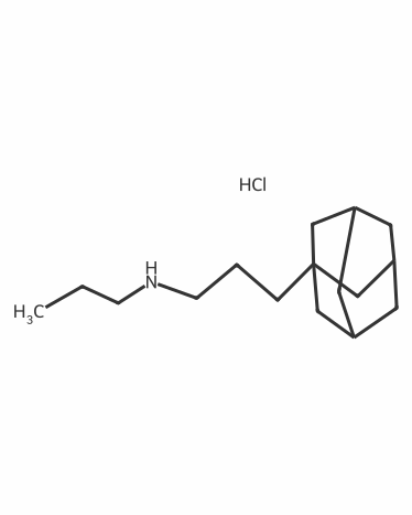 CCCNCCCC12CC3CC(CC(C3)C1)C2.Cl